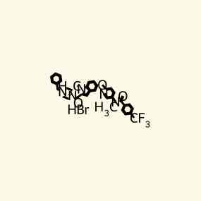 Br.CN(C(=O)c1ccc(C(F)(F)F)cc1)c1ccc(Oc2ccc3c(c2)cc(C(=O)N2CCN(Cc4ccccc4)CC2)n3C)nc1